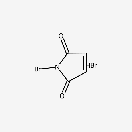 Br.O=C1C=CC(=O)N1Br